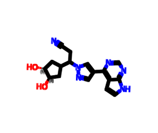 N#CCC(C1C[C@@H](O)[C@H](O)C1)n1cc(-c2ncnc3[nH]ccc23)cn1